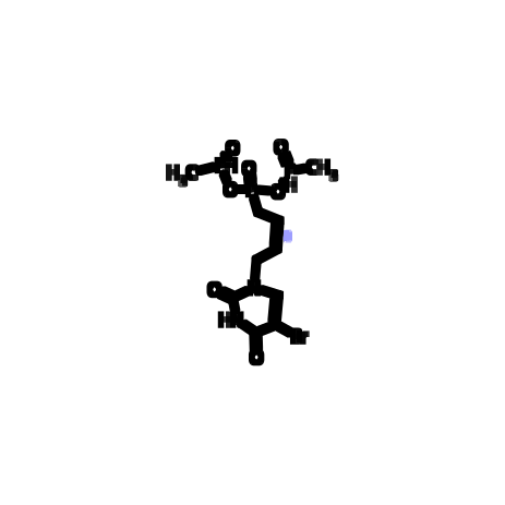 C[PH](=O)OP(=O)(C/C=C\Cn1cc(Br)c(=O)[nH]c1=O)O[PH](C)=O